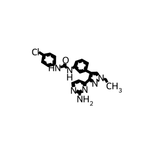 CCn1cc(-c2cccc(NC(=O)Nc3ccc(Cl)cc3)c2)c(-c2ccnc(N)n2)n1